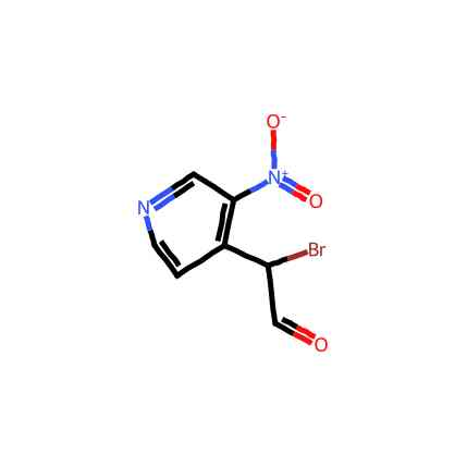 O=CC(Br)c1ccncc1[N+](=O)[O-]